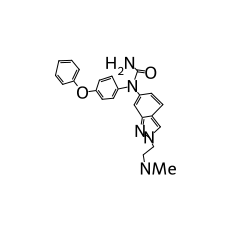 CNCCn1cc2ccc(N(C(N)=O)c3ccc(Oc4ccccc4)cc3)cc2n1